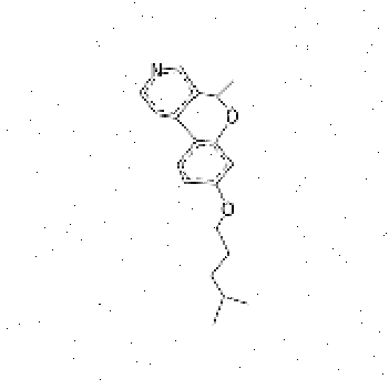 CC(C)CCCOc1ccc2c(c1)OC(C)c1cnccc1-2